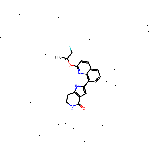 CC(CF)Oc1ccc2cccc(-c3cc4c([nH]3)CCNC4=O)c2n1